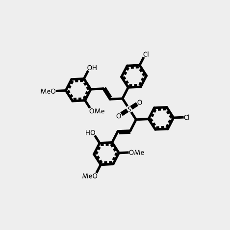 COc1cc(O)c(C=CC(c2ccc(Cl)cc2)S(=O)(=O)C(C=Cc2c(O)cc(OC)cc2OC)c2ccc(Cl)cc2)c(OC)c1